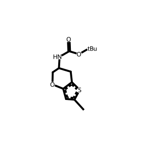 Cc1cc2c(s1)CC(NC(=O)OC(C)(C)C)CO2